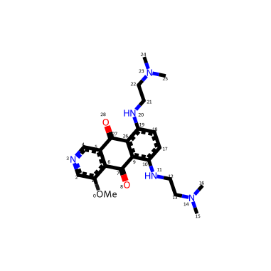 COc1cncc2c1C(=O)c1c(NCCN(C)C)ccc(NCCN(C)C)c1C2=O